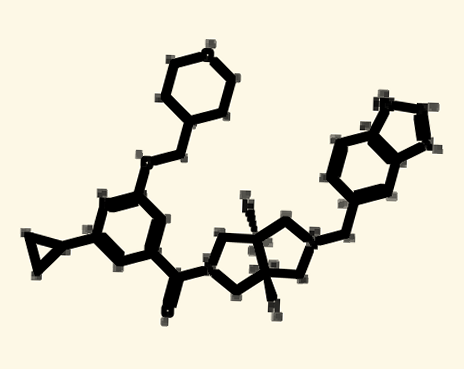 O=C(c1cc(OCC2CCOCC2)nc(C2CC2)c1)N1C[C@H]2CN(Cc3ccc4[nH]nnc4c3)C[C@@H]2C1